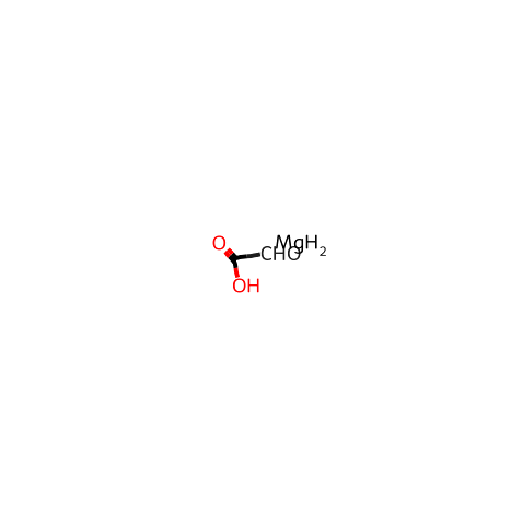 O=CC(=O)O.[MgH2]